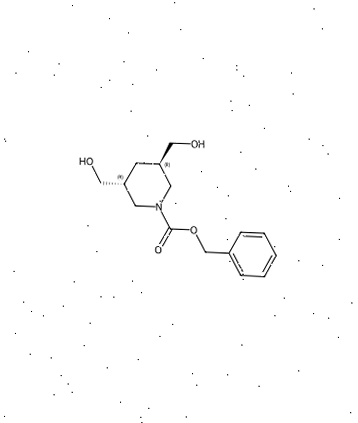 O=C(OCc1ccccc1)N1C[C@H](CO)C[C@@H](CO)C1